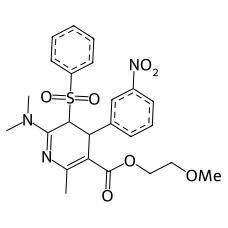 COCCOC(=O)C1=C(C)N=C(N(C)C)C(S(=O)(=O)c2ccccc2)C1c1cccc([N+](=O)[O-])c1